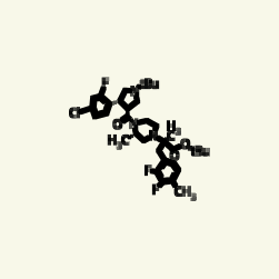 Cc1ccc(C[C@@](C)(C(=O)OC(C)(C)C)N2CCN(C(=O)[C@@H]3CN(C(C)(C)C)C[C@H]3c3ccc(Cl)cc3F)[C@@H](C)C2)c(F)c1F